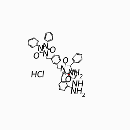 Cl.N=C(N)c1cccc(C[C@H](C(N)=O)N(Cc2cccc(Cn3c(=O)n(-c4ccccc4)n(-c4ccccc4)c3=O)c2)C(=O)C(c2ccccc2)c2ccccc2)c1